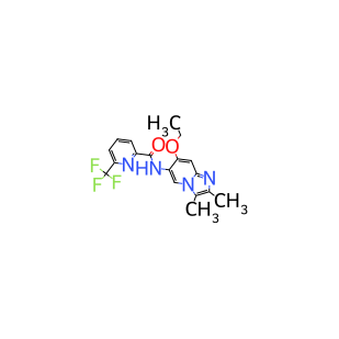 CCOc1cc2nc(C)c(C)n2cc1NC(=O)c1cccc(C(F)(F)F)n1